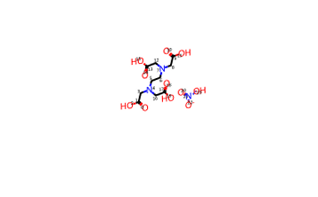 O=C(O)CN(CCN(CC(=O)O)CC(=O)O)CC(=O)O.O=[N+]([O-])O